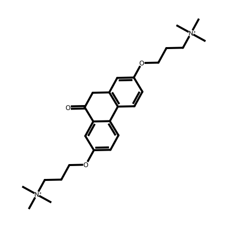 C[N+](C)(C)CCCOc1ccc2c(c1)CC(=O)c1cc(OCCC[N+](C)(C)C)ccc1-2